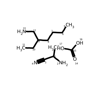 CC(N)C#N.CCCCC(CC)CN.O=C(O)O